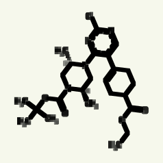 CCOC(=O)C1CC=C(c2cnc(Cl)nc2N2C[C@@H](C)N(C(=O)OC(C)(C)C)C[C@@H]2C)CC1